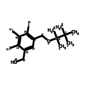 CC(C)(C)[Si](C)(C)OCc1cc(CO)c(I)c(I)c1I